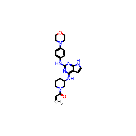 C=CC(=O)N1CCC[C@@H](Nc2nc(Nc3ccc(N4CCOCC4)cc3)nc3[nH]ccc23)C1